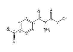 NN(C(=O)CCl)C(=O)c1ccc([N+](=O)[O-])cc1